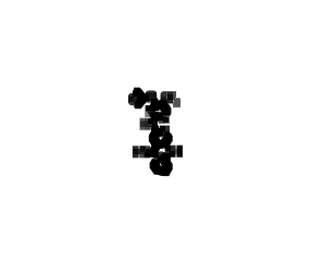 N=C(c1ccnc(Nc2ncc(C(F)(F)F)c(OC3COC3)n2)c1)n1ccccc1=N